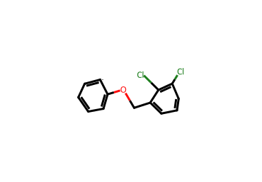 Clc1cccc(COc2[c]cccc2)c1Cl